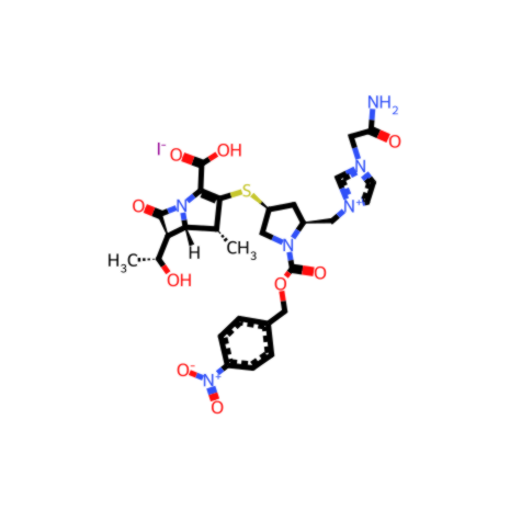 C[C@@H](O)[C@H]1C(=O)N2C(C(=O)O)=C(S[C@H]3C[C@@H](C[n+]4ccn(CC(N)=O)c4)N(C(=O)OCc4ccc([N+](=O)[O-])cc4)C3)[C@H](C)[C@H]12.[I-]